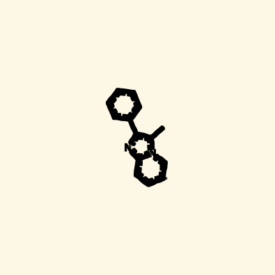 Cc1c(-c2ccccc2)nc2cc[c]cn12